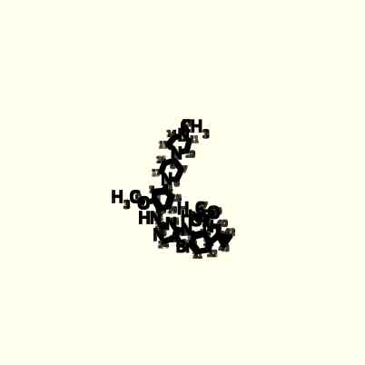 COc1cc(N2CCC(N3CCN(C)CC3)CC2)ccc1Nc1ncc(Br)c(Nc2cccc3c2N(S(C)(=O)=O)CC32CC2)n1